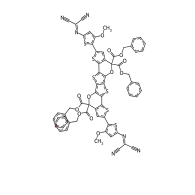 COc1cc(N=C(C#N)C#N)sc1-c1cc2c(s1)-c1sc3c4c(sc3c1OC2(C(=O)OCc1ccccc1)C(=O)OCc1ccccc1)-c1sc(-c2sc(N=C(C#N)C#N)cc2OC)cc1C(C(=O)OCc1ccccc1)(C(=O)OCc1ccccc1)O4